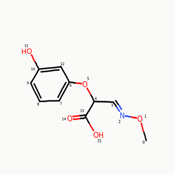 CON=CC(Oc1cccc(O)c1)C(=O)O